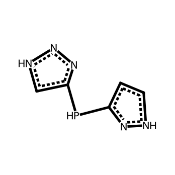 c1cc(Pc2c[nH]nn2)n[nH]1